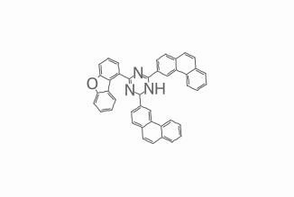 c1ccc2c(c1)ccc1ccc(C3=NC(c4cccc5oc6ccccc6c45)=NC(c4ccc5ccc6ccccc6c5c4)N3)cc12